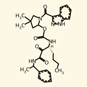 CCCC[C@@H](NC(=O)OC1CC(C)(C)CN1C(=O)c1n[nH]c2ccccc12)C(=O)C(=O)NC(C)c1ccccc1